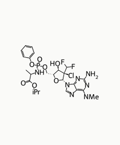 CNc1nc(N)nc2c1ncn2[C@@H]1O[C@H](CO[P@](=O)(NC(C)C(=O)OC(C)C)Oc2ccccc2)[C@@H](O)[C@]1(Cl)C(F)F